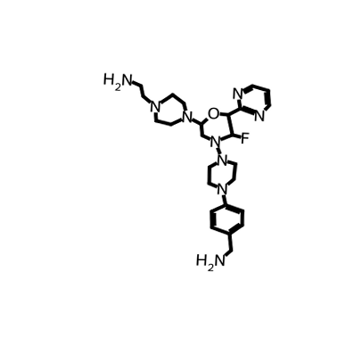 NCCN1CCN(C2CN(N3CCN(c4ccc(CN)cc4)CC3)C(F)C(c3ncccn3)O2)CC1